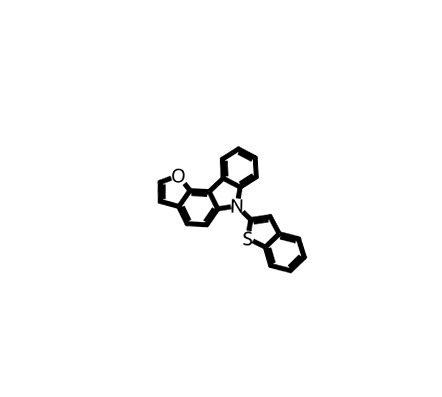 c1ccc2sc(-n3c4ccccc4c4c5occc5ccc43)cc2c1